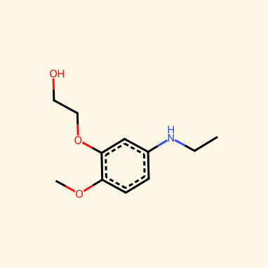 CCNc1ccc(OC)c(OCCO)c1